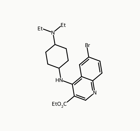 CCOC(=O)c1cnc2ccc(Br)cc2c1NC1CCC(N(CC)CC)CC1